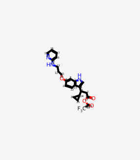 O=C(CC(c1c[nH]c2cc(OCCCNc3ccccn3)ccc12)C1CC1)OC(=O)C(F)(F)F